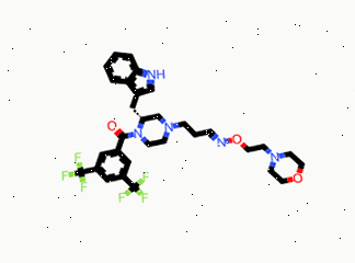 O=C(c1cc(C(F)(F)F)cc(C(F)(F)F)c1)N1CCN(CCC=NOCCN2CCOCC2)C[C@H]1Cc1c[nH]c2ccccc12